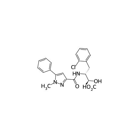 Cn1nc(C(=O)N[C@H](Cc2ccccc2Cl)[C@@H](O)C(=O)O)cc1-c1ccccc1